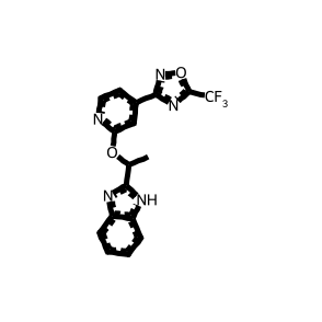 CC(Oc1cc(-c2noc(C(F)(F)F)n2)ccn1)c1nc2ccccc2[nH]1